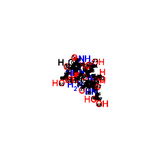 Cc1c(C(N)=O)c(I)c(N(CC(O)CO)C(=O)C(CC(O)CO)C(=O)N(CC(O)CO)c2c(C)c(C(N)=O)c(I)c(C(=O)NCC(O)CO)c2I)c(I)c1C(=O)NCC(O)CO